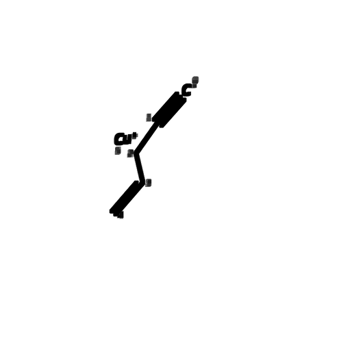 [C-]#CCC=C.[Cu+]